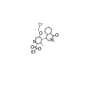 CCS(=O)(=O)c1ncc(OCC2CC2)c(-c2cn(C)c(=O)c3ccccc23)c1C